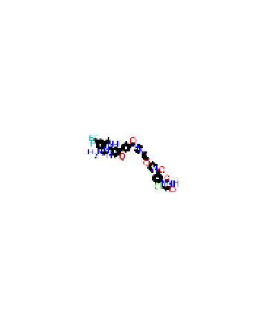 COc1cc2nc(C)nc(N[C@H](C)c3cc(N)cc(C(F)(F)F)c3)c2cc1C1CCC(C(=O)N2CCN(CCCOC3CCN(C(=O)c4ccc(Cl)c(N5CCC(=O)NC5=O)c4)CC3)CC2)CC1